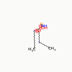 CCCCCCCC/C=C\CCCCCCCC(=O)OC(CO/C=C\CCCCCCCCCCCCCC)CO[PH]1(O)NCCO1